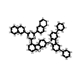 C1=Cc2cc(-c3nc(-c4ccc5ccccc5c4)nc(-c4cccc5oc6cc(-n7c8ccc(-c9ccccc9)cc8c8cc(-c9ccccc9)ccc87)ccc6c45)n3)ccc2CC1